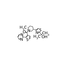 C[C@@H]1CC[C@@H](c2csc(C(C)(C)O)n2)CN1C(=O)c1ccsc1-c1ncccn1